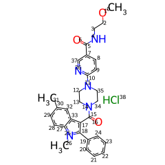 COCCNC(=O)c1ccc(N2CCN(C(=O)c3c(-c4ccccc4)n(C)c4ccc(C)cc34)CC2)nc1.Cl